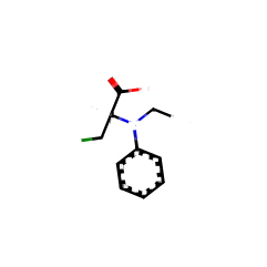 CCN(c1ccccc1)[C@@](F)(CF)C(=O)O